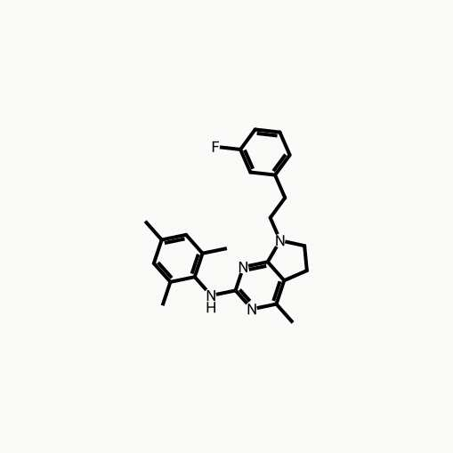 Cc1cc(C)c(Nc2nc(C)c3c(n2)N(CCc2cccc(F)c2)CC3)c(C)c1